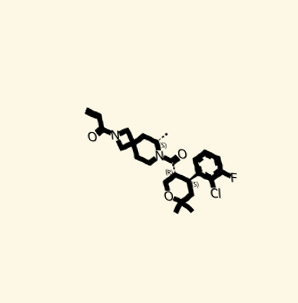 C=CC(=O)N1CC2(CCN(C(=O)[C@H]3COC(C)(C)C[C@@H]3c3cccc(F)c3Cl)[C@@H](C)C2)C1